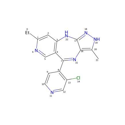 CCc1cc2c(cn1)C(c1ccncc1Cl)=Nc1c(n[nH]c1C)N2